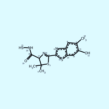 CC1(C)SC(c2nc3cc(C(F)(F)F)c(O)cc3s2)=NC1C(=O)NS